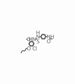 CCCCOc1cc(OC)c(NC(=S)Nc2ccc(NC(C)=O)cc2)cc1Cl